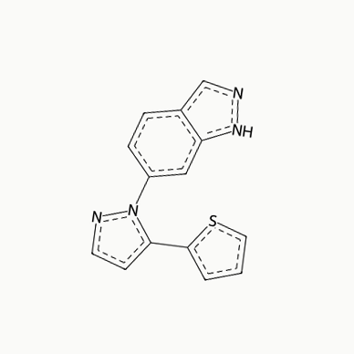 c1csc(-c2ccnn2-c2ccc3cn[nH]c3c2)c1